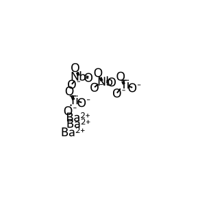 [Ba+2].[Ba+2].[Ba+2].[O]=[Nb](=[O])[O-].[O]=[Nb](=[O])[O-].[O]=[Ti]([O-])[O-].[O]=[Ti]([O-])[O-]